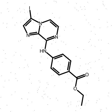 CCOC(=O)c1ccc(Nc2nccn3c(I)cnc23)cc1